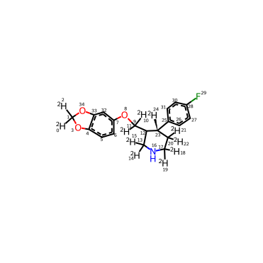 [2H]C1([2H])Oc2ccc(OC([2H])([2H])C3C([2H])([2H])NC([2H])([2H])C([2H])([2H])[C@@]3([2H])c3ccc(F)cc3)cc2O1